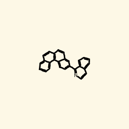 c1ccc2c(-c3ccc4c(ccc5ccc6ccccc6c54)c3)nccc2c1